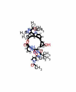 C=CC(=O)N1CC[C@H](C(=O)N(C)[C@H](C(=O)N[C@H]2Cc3cc(O)cc(c3)-c3ccc4c(c3)c(c(-c3cn(C)nc3[C@H](C)OC)n4CC)CC(C)(C)COC(=O)[C@@H]3CCCN(N3)C2=O)C(C)C)C1